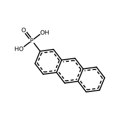 O=P(O)(O)c1ccc2cc3ccccc3cc2c1